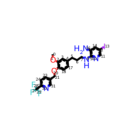 COc1cc(CCCNc2ncc(I)cc2N)ccc1OCc1ccc(C(F)(F)F)nc1